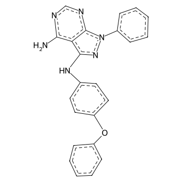 Nc1ncnc2c1c(Nc1ccc(Oc3ccccc3)cc1)nn2-c1ccccc1